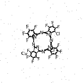 Fc1c(F)c(F)c2c(c1F)-c1nc-2nc2c3c(F)c(F)c(F)c(F)c3c(nc3nc(nc4c5c(F)c(F)c(F)c(F)c5c(n1)n4F)-c1c(F)c(F)c(F)c(Cl)c1-3)n2Cl.[Cu]